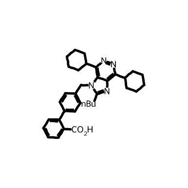 CCCCc1nc2c(C3CCCCC3)nnc(C3CCCCC3)c2n1Cc1ccc(-c2ccccc2C(=O)O)cc1